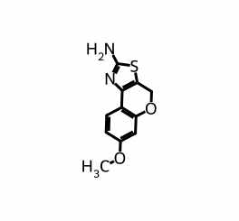 COc1ccc2c(c1)OCc1sc(N)nc1-2